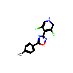 N#Cc1ccc(-c2nc(C3=C(Cl)CNC=C3Cl)no2)cc1